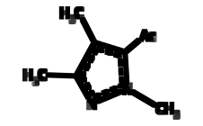 CC(=O)c1c(C)c(C)nn1C